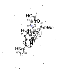 CO[C@@H]1CO[C@H]([C@@H](C)O)[C@H](C)/C=C(\C)[C@]23O[C@@H]4[C@H](C=C[C@@H]2C1)[C@H]3[C@H](O)[C@@H](C)[C@H]4OC(=O)c1ccc[nH]1